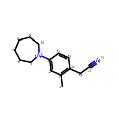 Cc1cc(N2CCCCCC2)ccc1[C]C#N